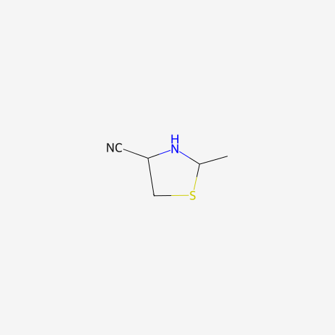 CC1NC(C#N)CS1